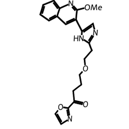 COc1nc2ccccc2cc1-c1cnc(CCOCCCC(=O)c2ncco2)[nH]1